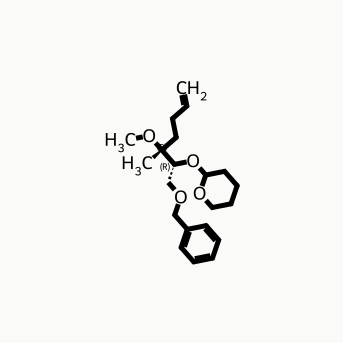 C=CCC[C@@](C)(OC)[C@@H](COCc1ccccc1)OC1CCCCO1